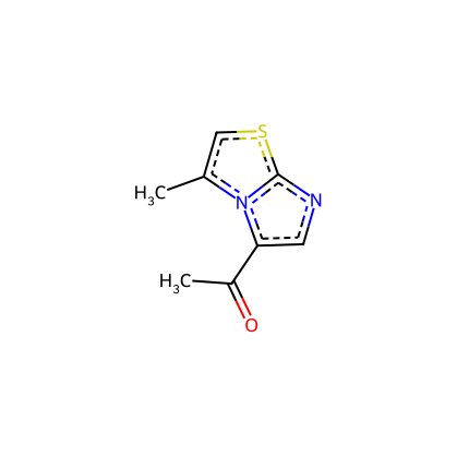 CC(=O)c1cnc2scc(C)n12